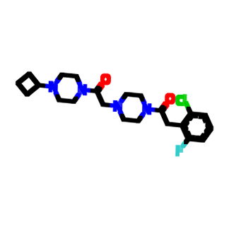 O=C(Cc1c(F)cccc1Cl)N1CCN(CC(=O)N2CCN(C3CCC3)CC2)CC1